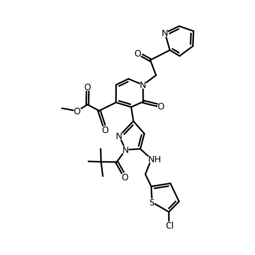 COC(=O)C(=O)c1ccn(CC(=O)c2ccccn2)c(=O)c1-c1cc(NCc2ccc(Cl)s2)n(C(=O)C(C)(C)C)n1